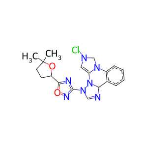 CC1(C)CCC(c2nc(N3C=NC4c5ccccc5N5CN(Cl)C=C5N43)no2)O1